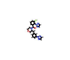 O=C(c1cccc(F)c1-n1nccn1)N1CCOCC1Cc1cccc(-n2nccn2)c1